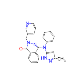 Cc1cc(N(c2ccccc2)c2nn(Cc3cccnc3)c(=O)c3ccccc23)[nH]n1